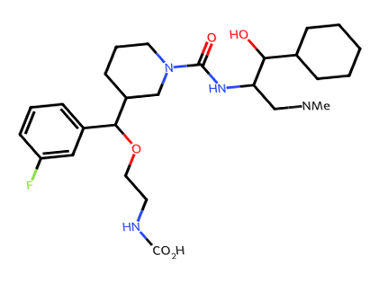 CNCC(NC(=O)N1CCCC(C(OCCNC(=O)O)c2cccc(F)c2)C1)C(O)C1CCCCC1